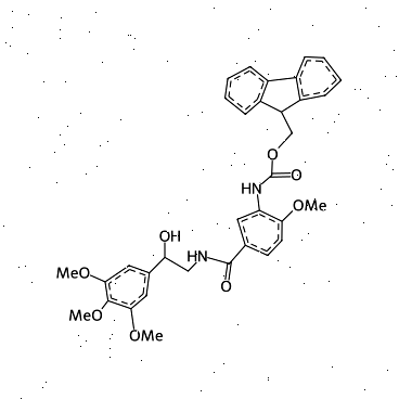 COc1ccc(C(=O)NCC(O)c2cc(OC)c(OC)c(OC)c2)cc1NC(=O)OCC1c2ccccc2-c2ccccc21